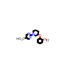 CCOc1ccccc1OC1CCCN(c2ncc(C(=O)O)cn2)C1